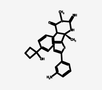 CN1C(=N)N[C@](C)(c2ccc(-c3cccc(N)c3)s2)C(c2ccc(C3(O)CCC3)cc2)C1=O